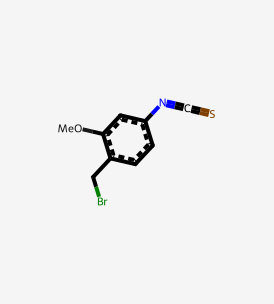 COc1cc(N=C=S)ccc1CBr